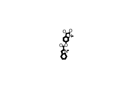 CN1C(=O)C(=O)c2ccc(OC(=O)c3cc4ccccc4n3C)cc21